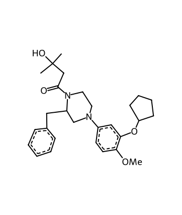 COc1ccc(N2CCN(C(=O)CC(C)(C)O)C(Cc3ccccc3)C2)cc1OC1CCCC1